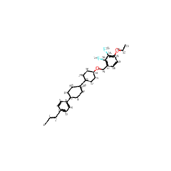 CCCc1ccc(C2CCC(C3CCC(OCc4ccc(OCC)c(F)c4F)CC3)CC2)cc1